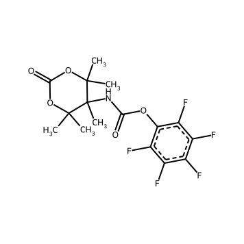 CC1(C)OC(=O)OC(C)(C)C1(C)NC(=O)Oc1c(F)c(F)c(F)c(F)c1F